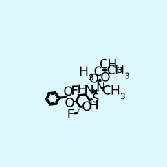 CN(C(=O)OC(C)(C)C)C1=N[C@@H]2[C@H](F)[C@H](OC(=O)c3ccccc3)[C@@H](CF)O[C@@H]2S1